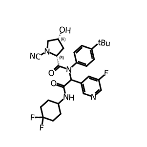 CC(C)(C)c1ccc(N(C(=O)[C@H]2C[C@@H](O)CN2C#N)C(C(=O)NC2CCC(F)(F)CC2)c2cncc(F)c2)cc1